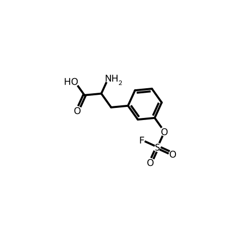 NC(Cc1cccc(OS(=O)(=O)F)c1)C(=O)O